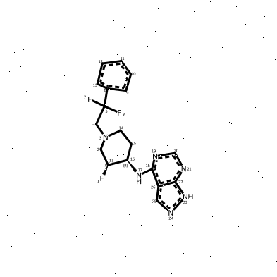 F[C@H]1CN(CC(F)(F)c2ccccc2)CC[C@H]1Nc1ncnc2[nH]ncc12